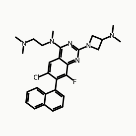 CN(C)CCN(C)c1nc(N2CC(N(C)C)C2)nc2c(F)c(-c3cccc4ccccc34)c(Cl)cc12